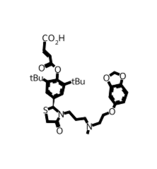 CN(CCCN1C(=O)CS[C@H]1c1cc(C(C)(C)C)c(OC(=O)/C=C/C(=O)O)c(C(C)(C)C)c1)CCOc1ccc2c(c1)OCO2